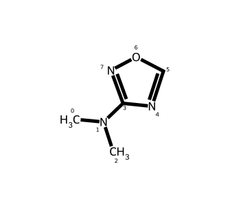 CN(C)c1ncon1